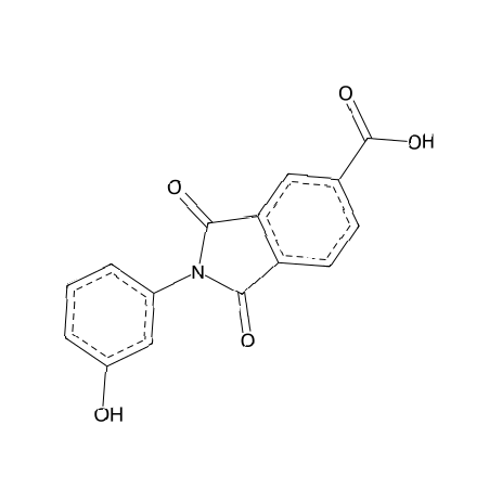 O=C(O)c1ccc2c(c1)C(=O)N(c1cccc(O)c1)C2=O